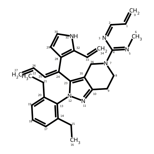 C=C/C=N\C(=N/C)N1CCc2nn(-c3c(CC)cccc3CC)c(/C(=C/C=C)c3cc[nH]c3C=C)c2C1